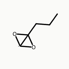 CCCC12O[C]1O2